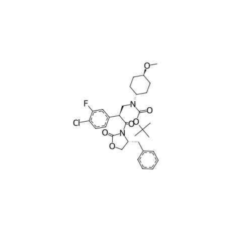 CO[C@H]1CC[C@H](N(C[C@@H](C(=O)N2C(=O)OC[C@H]2Cc2ccccc2)c2ccc(Cl)c(F)c2)C(=O)OC(C)(C)C)CC1